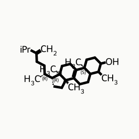 C=C(CC[C@@H](C)[C@H]1CC[C@@]2(C)C3=C(CC[C@]12C)[C@@]1(C)CCC(O)C(C)C1CC3)C(C)C